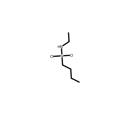 CCCC[Si](Cl)(Cl)NCC